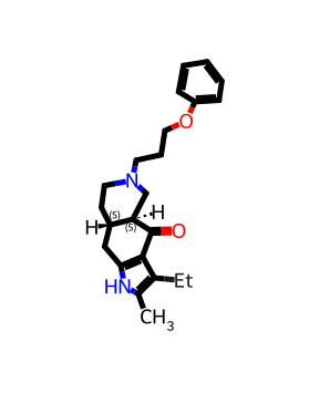 CCc1c(C)[nH]c2c1C(=O)[C@@H]1CN(CCCOc3ccccc3)CC[C@H]1C2